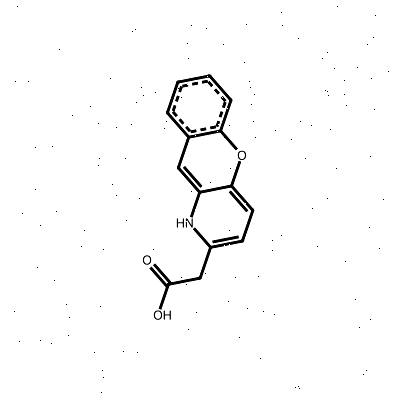 O=C(O)CC1=CC=C2Oc3ccccc3C=C2N1